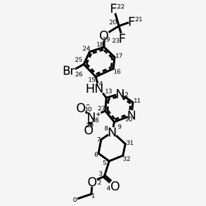 CCOC(=O)C1CCN(c2ncnc(Nc3ccc(OC(F)(F)F)cc3Br)c2[N+](=O)[O-])CC1